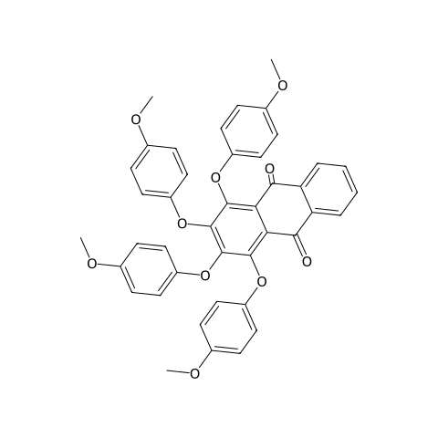 COc1ccc(Oc2c(Oc3ccc(OC)cc3)c(Oc3ccc(OC)cc3)c3c(c2Oc2ccc(OC)cc2)C(=O)c2ccccc2C3=O)cc1